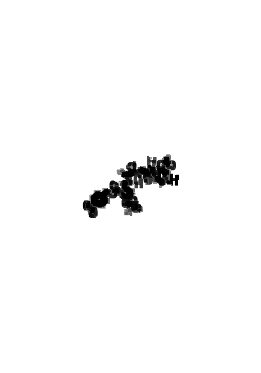 CC(=O)OC1CNCCN1NC(=O)CNC(=O)C(C)SCC1CC(OS(C)(=O)=O)CN1C(=O)OCc1ccc([N+](=O)[O-])cc1